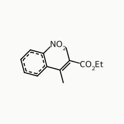 CCOC(=O)C(C)=C(C)c1ccccc1[N+](=O)[O-]